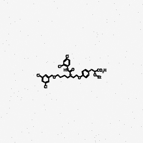 CCOC(Cc1ccc(OCCN(CCCCOCc2cc(Cl)cc(Cl)c2)C(=O)Nc2ccc(Cl)cc2Cl)cc1)C(=O)O